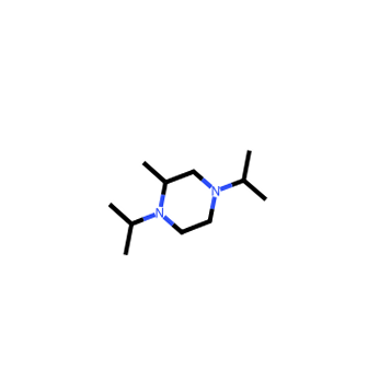 CC(C)N1CCN(C(C)C)C(C)C1